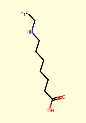 CCNCCCCCCC(=O)O